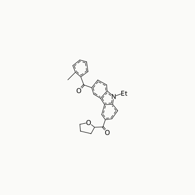 CCn1c2ccc(C(=O)c3ccccc3C)cc2c2cc(C(=O)C3CCCO3)ccc21